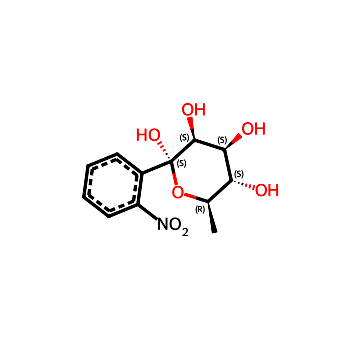 C[C@H]1O[C@@](O)(c2ccccc2[N+](=O)[O-])[C@@H](O)[C@@H](O)[C@@H]1O